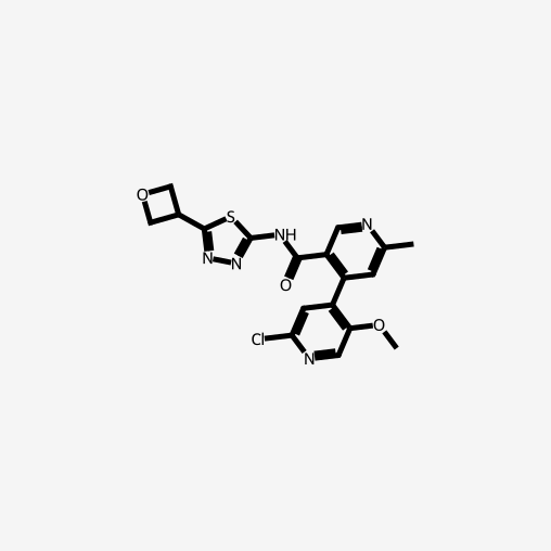 COc1cnc(Cl)cc1-c1cc(C)ncc1C(=O)Nc1nnc(C2COC2)s1